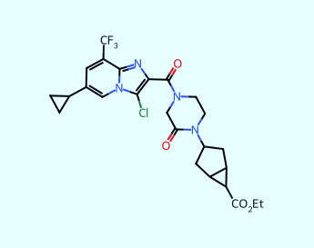 CCOC(=O)C1C2CC(N3CCN(C(=O)c4nc5c(C(F)(F)F)cc(C6CC6)cn5c4Cl)CC3=O)CC21